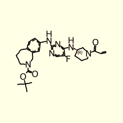 C=CC(=O)N1CCC[C@@H](Nc2nc(Nc3ccc4c(c3)CN(C(=O)OC(C)(C)C)CCC4)ncc2F)C1